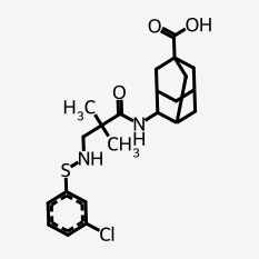 CC(C)(CNSc1cccc(Cl)c1)C(=O)NC1C2CC3CC1CC(C(=O)O)(C3)C2